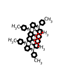 Cc1ccc(-n2c3cccc4c3p3c5c2cccc5n(-c2ccc(C)cc2)c2c5c(cc(c23)n4-c2ccc(C)cc2)cc2c3c5n(-c4ccc(C)cc4)c4cccc5c4p3c3c(cccc3n2-c2ccc(C)cc2)n5-c2ccc(C)cc2)cc1